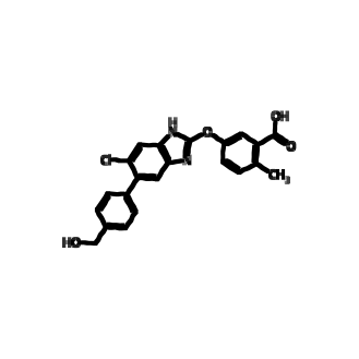 Cc1ccc(Oc2nc3cc(-c4ccc(CO)cc4)c(Cl)cc3[nH]2)cc1C(=O)O